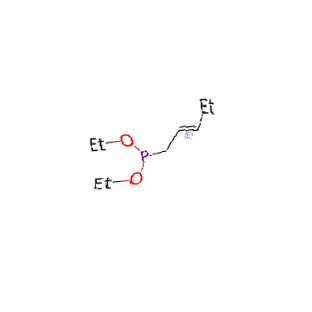 CC/C=C/CP(OCC)OCC